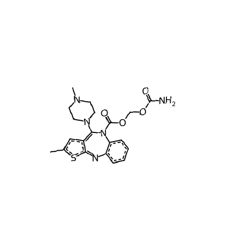 Cc1cc2c(s1)=Nc1ccccc1N(C(=O)OCOC(N)=O)C=2N1CCN(C)CC1